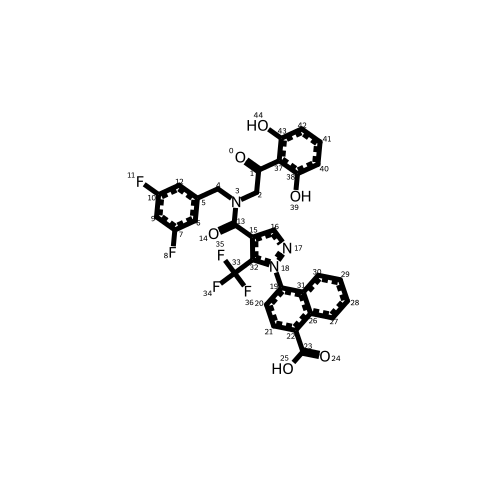 O=C(CN(Cc1cc(F)cc(F)c1)C(=O)c1cnn(-c2ccc(C(=O)O)c3ccccc23)c1C(F)(F)F)c1c(O)cccc1O